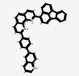 c1ccc2c(c1)-c1cccc3c(-c4ccc5ccc6ccc(-c7ccc(-c8ccc9ncccc9c8)cc7)nc6c5n4)ccc-2c13